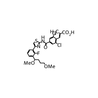 COCCCC(OC)c1cccc(-c2csc(NC(=O)c3cc(Cl)c(C=C(C)C(=O)O)c(Cl)c3)n2)c1F